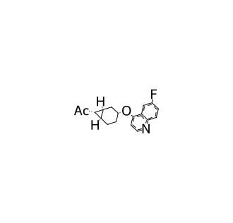 CC(=O)[C@H]1[C@@H]2CC[C@@H](Oc3ccnc4ccc(F)cc34)C[C@@H]21